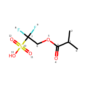 CC(C)C(=O)OCC(F)(F)S(=O)(=O)O